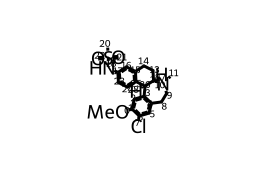 COc1cc2c(cc1Cl)CCN(C)[C@H]1CCc3cc(NS(C)(=O)=O)ccc3[C@H]21